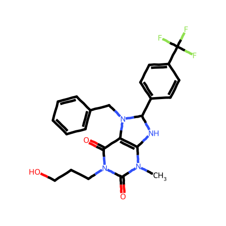 Cn1c2c(c(=O)n(CCCO)c1=O)N(Cc1ccccc1)C(c1ccc(C(F)(F)F)cc1)N2